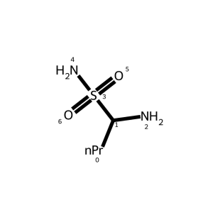 CCCC(N)S(N)(=O)=O